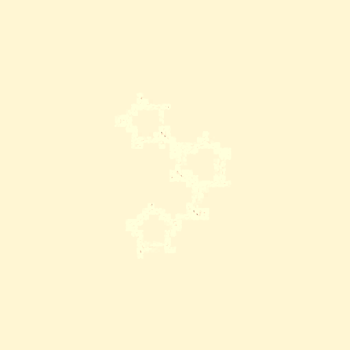 c1cc(NC2CCCC2)nc(N2CCCC2)c1